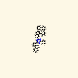 c1ccc(-c2nc(-c3ccc4ccc5c(c4c3)-c3ccccc3C5(c3ccccc3)c3ccccc3)nc(-c3cccc4c3ccc3ccccc34)n2)cc1